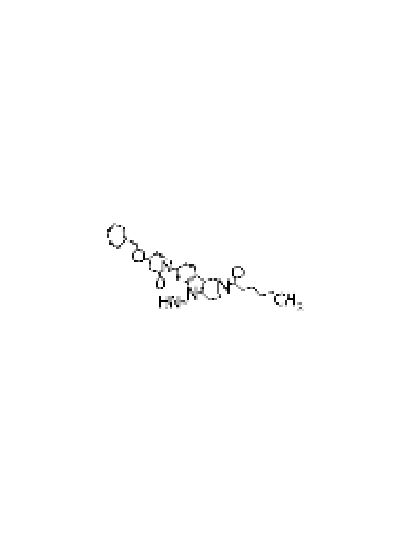 CCCCCC(=O)N1CCc2c(c3ccc(-n4ccc(OCc5ccccc5)cc4=O)cc3n2C=N)C1